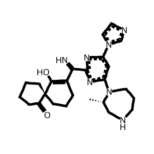 C[C@H]1CNCCCN1c1cc(-n2ccnc2)nc(C(=N)C2=C(O)[C@]3(CCCCC3=O)CCC2)n1